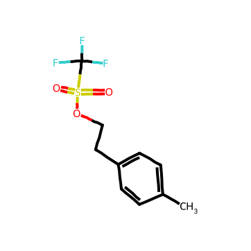 Cc1ccc(CCOS(=O)(=O)C(F)(F)F)cc1